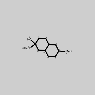 CCCCCCCC1(C#N)CCC2CC(CCCCC)CCC2C1